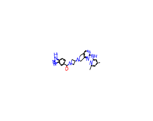 Cc1cc(C)nc(Nc2ncc3c(n2)CN(C2CN(C(=O)c4ccc5[nH]nnc5c4)C2)C3)c1